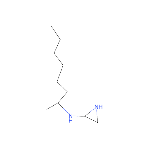 CCCCCCC(C)NC1CN1